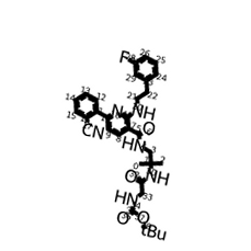 CC(C)(CNC(=O)c1ccc(-c2ccccc2C#N)nc1NCCc1cccc(F)c1)NC(=O)CNC(=O)OC(C)(C)C